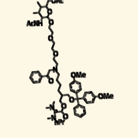 CCCOC(OCC(CCCCN(CCOCCOCCOC1OC(COC(C)=O)C(C)C(C)C1NC(C)=O)CC(=O)c1ccccc1)COC(c1ccccc1)(c1ccc(OC)cc1)c1ccc(OC)cc1)P(N(C)C)N(C)C